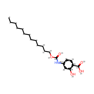 CCCCCCCCCCCCCOC(=O)Nc1ccc(C(=O)O)c(O)c1